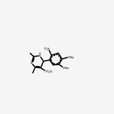 CCOC(=O)C1=C(C)N=C(C)NC1c1cc(OC)c(OC)cc1[N+](=O)[O-]